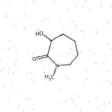 CN1CCCCC(O)C1=O